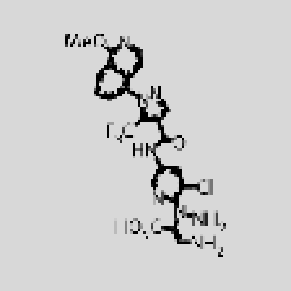 COc1nccc2c(-n3ncc(C(=O)Nc4cnc(N(N)/C(=C\N)C(=O)O)c(Cl)c4)c3C(F)(F)F)cccc12